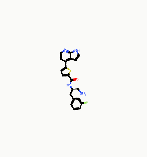 NC[C@@H](Cc1cccc(F)c1)NC(=O)c1ccc(-c2ccnc3[nH]ccc23)s1